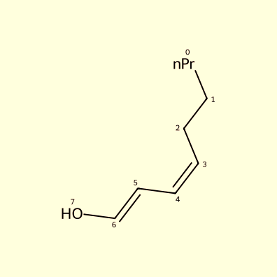 CCCCC/C=C\C=CO